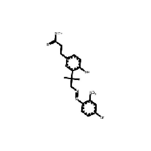 COC(=O)CCc1ccc(O)c(C(C)(C)CN=Nc2ccc(Br)cc2[N+](=O)[O-])c1